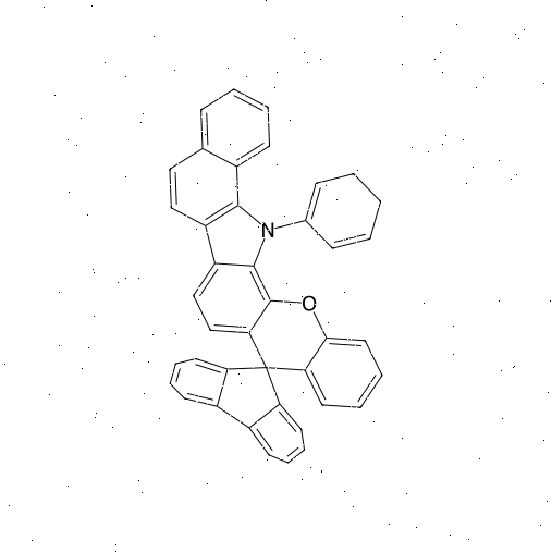 C1=CC(n2c3c4c(ccc3c3ccc5ccccc5c32)C2(c3ccccc3O4)c3ccccc3-c3ccccc32)=CCC1